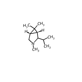 CC(C)C1[C@@H]2[C@H](CN1C)C2(C)C